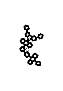 c1ccc(-c2ccc3c(c2)c2cc(-c4ccccc4)ccc2n3-c2c3ccccc3c(-c3cccc4c3oc3cc(-c5c6ccccc6c(-c6ccccc6)c6ccccc56)ccc34)c3ccccc23)cc1